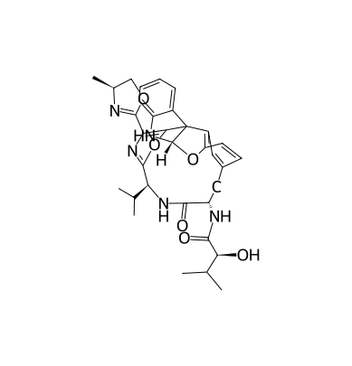 CC(C)[C@H](O)C(=O)N[C@H]1Cc2ccc3c(c2)C2(c4ccccc4N[C@H]2O3)c2oc(nc2C2=N[C@@H](C)CO2)[C@H](C(C)C)NC1=O